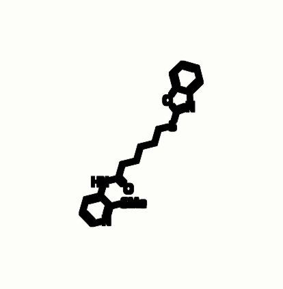 CSc1ncccc1NC(=O)CCCCCSc1nc2ccccc2o1